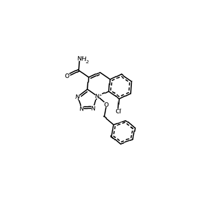 NC(=O)C1=Cc2cccc(Cl)c2[N+]2(OCc3ccccc3)N=NN=C12